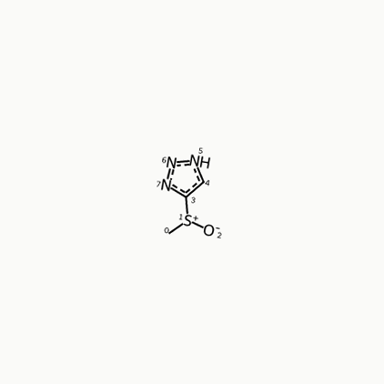 C[S+]([O-])c1c[nH]nn1